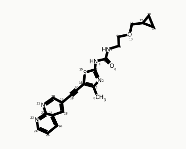 Cc1nc(NC(=O)NCCOCC2CC2)sc1C#Cc1cnc2ncccc2c1